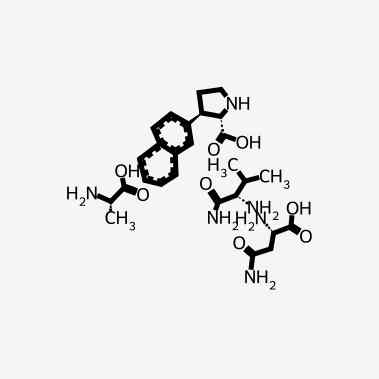 CC(C)[C@H](N)C(N)=O.C[C@H](N)C(=O)O.NC(=O)C[C@H](N)C(=O)O.O=C(O)[C@H]1NCC[C@@H]1c1ccc2ccccc2c1